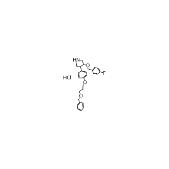 Cl.Fc1ccc(COC2CNCCC2c2ccc(OCCCOCc3ccccc3)cc2)cc1